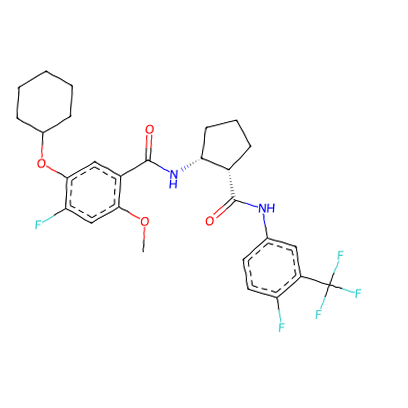 COc1cc(F)c(OC2CCCCC2)cc1C(=O)N[C@@H]1CCC[C@@H]1C(=O)Nc1ccc(F)c(C(F)(F)F)c1